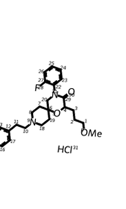 COCCCC1OC2(CCN(CCc3ccccc3)CC2)CN(c2ccccc2F)C1=O.Cl